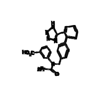 CCCC(=O)N(Cc1ccc(-c2ccccc2-c2nnn[nH]2)cc1)c1cccc(C(=O)O)c1